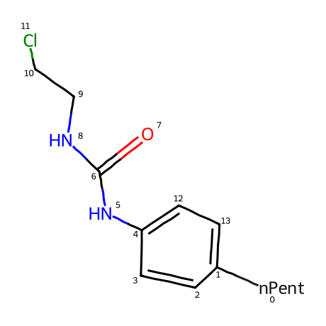 CCCCCc1ccc(NC(=O)NCCCl)cc1